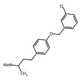 CNC(C)CCc1ccc(OCc2cccc(Cl)c2)cc1